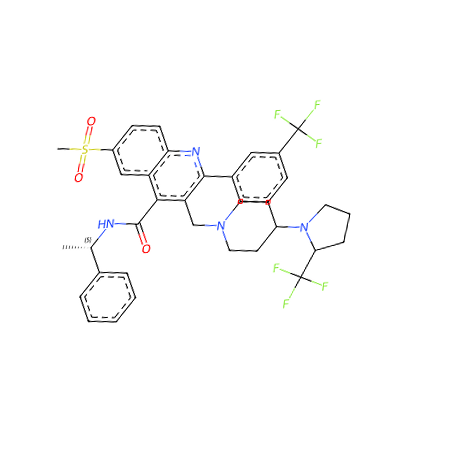 C[C@H](NC(=O)c1c(CN2CCC(N3CCCC3C(F)(F)F)CC2)c(-c2cccc(C(F)(F)F)c2)nc2ccc(S(C)(=O)=O)cc12)c1ccccc1